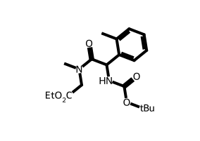 CCOC(=O)CN(C)C(=O)C(NC(=O)OC(C)(C)C)c1ccccc1C